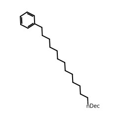 CCCCCCCCCCCCCCCCCCCCCCCc1ccccc1